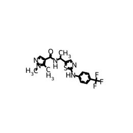 Cc1c(C(=O)NC(C)c2cnc(Nc3ccc(C(F)(F)F)cc3)s2)cnn1C